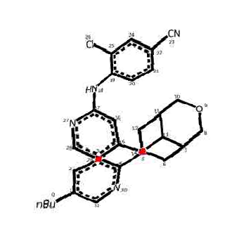 CCCCc1cnc(N2CC3COCC(C2)C3Oc2cc(Nc3ccc(C#N)cc3Cl)ncn2)nc1